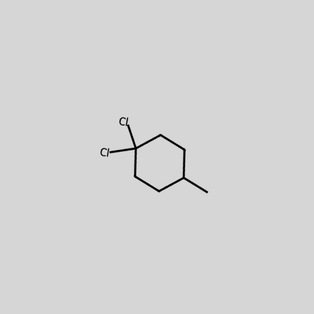 CC1CCC(Cl)(Cl)CC1